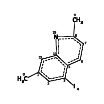 Cc1cc(I)c2ccc(C)nc2c1